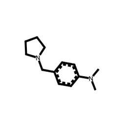 CN(C)c1ccc(CN2CCCC2)cc1